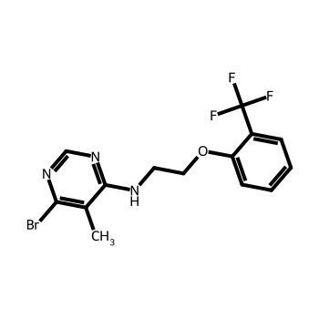 Cc1c(Br)ncnc1NCCOc1ccccc1C(F)(F)F